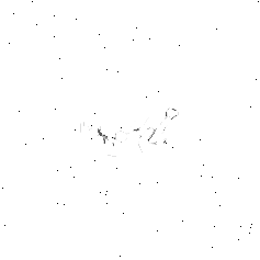 CC(C)(C)S(=O)(=O)NC1CCC(C(=O)NCc2ccnc3ccccc23)CC1